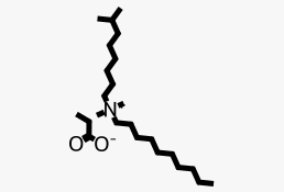 CCC(=O)[O-].CCCCCCCCCC[N+](C)(C)CCCCCCC(C)C